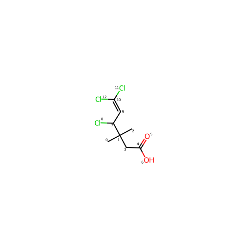 CC(C)(CC(=O)O)C(Cl)C=C(Cl)Cl